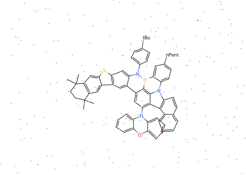 CCCCCc1ccc2c(c1)B1c3c(cc(N4c5ccccc5Oc5ccccc54)c4c5c6ccccc6ccc5n-2c34)-c2cc3c(cc2N1c1ccc(C(C)(C)C)cc1)sc1cc2c(cc13)C(C)(C)CCC2(C)C